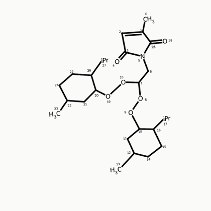 CC1=CC(=O)N(CC(OOC2CC(C)CCC2C(C)C)OOC2CC(C)CCC2C(C)C)C1=O